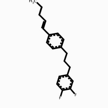 CCCC=Cc1ccc(CCCc2ccc(F)c(F)c2)cc1